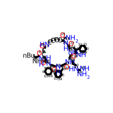 CCCC[C@H](NC(C)=O)C(=O)N[C@H]1CCC(=O)NCCCC[C@@H](C(N)=O)NC(=O)[C@H](Cc2c[nH]c3ccccc23)NC(=O)[C@H](CCCNC(=N)N)NC(=O)[C@@H](Cc2ccccc2)NC(=O)[C@H](C2CCCCC2)NC1=O